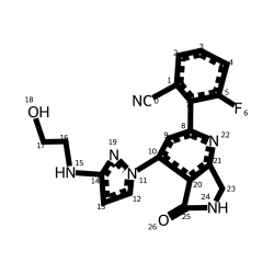 N#Cc1cccc(F)c1-c1cc(-n2ccc(NCCO)n2)c2c(n1)CNC2=O